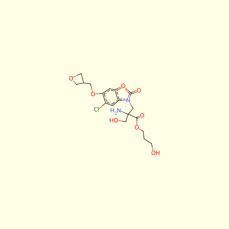 NC(CO)(Cn1c(=O)oc2cc(OCC3COC3)c(Cl)cc21)C(=O)OCCCO